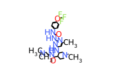 CCN1CCC(C(=O)NCCN(C)C)C(Nc2cc(C)nc(NC(=O)Nc3ccc(OC(F)(F)F)cc3)n2)C1